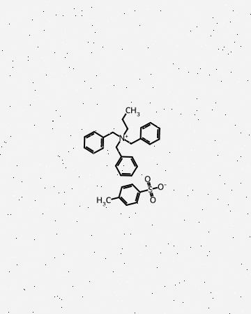 CCC[N+](Cc1ccccc1)(Cc1ccccc1)Cc1ccccc1.Cc1ccc(S(=O)(=O)[O-])cc1